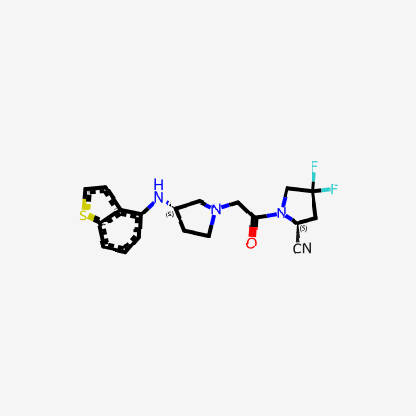 N#C[C@@H]1CC(F)(F)CN1C(=O)CN1CC[C@H](Nc2cccc3sccc23)C1